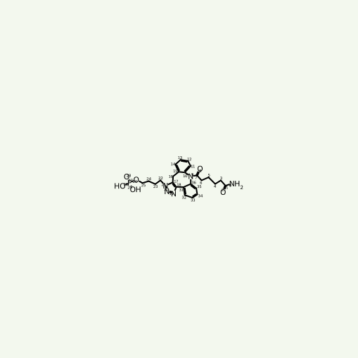 NC(=O)CCCCC(=O)N1c2ccccc2Cc2c(nnn2CCCCOP(=O)(O)O)-c2ccccc21